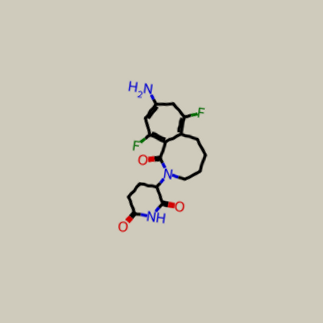 NC1=CC(F)=C2C(=O)N(C3CCC(=O)NC3=O)CCCCC2=C(F)C1